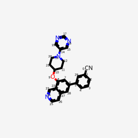 N#Cc1cccc(-c2cc(OC3CCN(c4cncnc4)CC3)c3cnccc3c2)c1